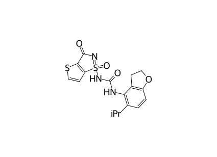 CC(C)c1ccc2c(c1NC(=O)NS1(=O)=NC(=O)c3sccc31)CCO2